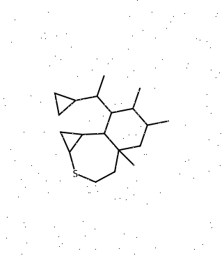 CC1CC2(C)CCSC3CC3C2C(C(C)C2CC2)C1C